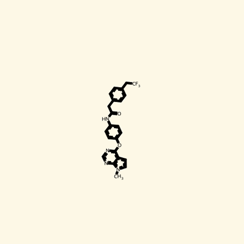 Cn1ccc2c(Oc3ccc(NC(=O)Cc4ccc(CC(F)(F)F)cc4)cc3)ncnc21